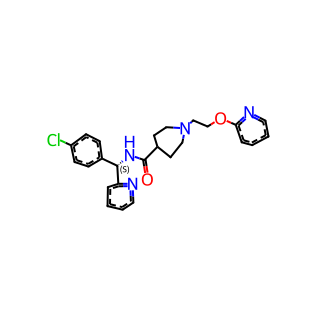 O=C(N[C@@H](c1ccc(Cl)cc1)c1ccccn1)C1CCN(CCOc2ccccn2)CC1